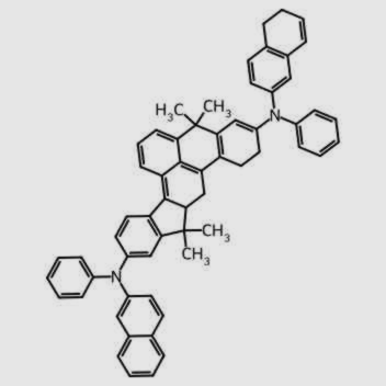 CC1(C)C2=C(CCC(N(c3ccccc3)c3ccc4c(c3)C=CCC4)=C2)C2=c3c1cccc3=C1c3ccc(N(c4ccccc4)c4ccc5ccccc5c4)cc3C(C)(C)C1C2